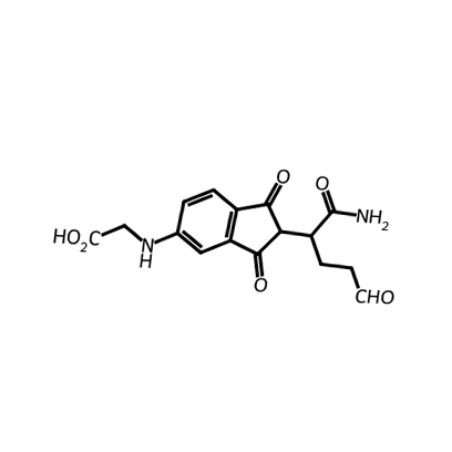 NC(=O)C(CCC=O)C1C(=O)c2ccc(NCC(=O)O)cc2C1=O